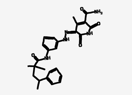 CC1=C(C(N)=O)C(=O)NC(=O)/C1=N\Nc1cccc(NC(=O)C(C)(C)CC(C)c2ccccc2)c1